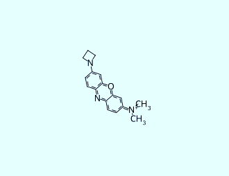 C[N+](C)=c1ccc2nc3ccc(N4CCC4)cc3oc-2c1